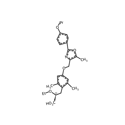 CCO[C@@H](Cc1c(C)cc(OCc2nc(-c3ccc(OC(C)C)cc3)oc2C)cc1C)C(=O)O